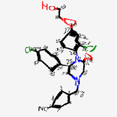 C[C@H](c1ccc(C#N)cc1)N1CC(=O)N(c2ccc(OCCO)cc2Cl)[C@H](c2ccc(Cl)cc2)C1